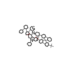 CC(C)(C)c1ccc2c(c1)C1(c3ccccc3-c3ccc(-c4ccc(N(c5ccccc5-c5ccccc5-c5ccccc5-c5ccccc5)c5cccc6c5c5ccccc5n6-c5ccccc5)cc4)cc31)c1cc(C(C)(C)C)ccc1-2